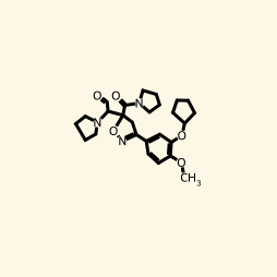 COc1ccc(C2=NOC(C(=O)N3CCCC3)(C(C=O)N3CCCC3)C2)cc1OC1CCCC1